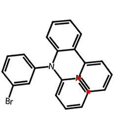 Brc1cccc(N(c2ccccn2)c2ccccc2-c2ccccc2)c1